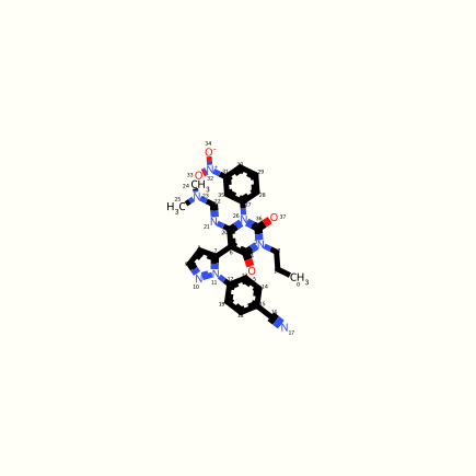 CCCn1c(=O)c(-c2ccnn2-c2ccc(C#N)cc2)c(N=CN(C)C)n(-c2cccc([N+](=O)[O-])c2)c1=O